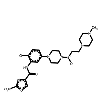 CN1CCN(CC[S+]([O-])N2CCN(c3ccc(Cl)c(NC(=O)c4coc(N)n4)c3)CC2)CC1